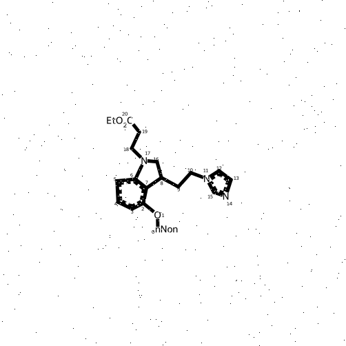 CCCCCCCCCOc1cccc2c1C(CCn1ccnc1)CN2CCC(=O)OCC